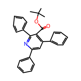 CC(C)(C)OC(=O)c1c(-c2ccccc2)cc(-c2ccccc2)nc1-c1ccccc1